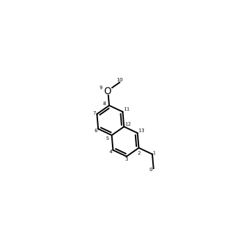 CCc1ccc2ccc(OC)cc2c1